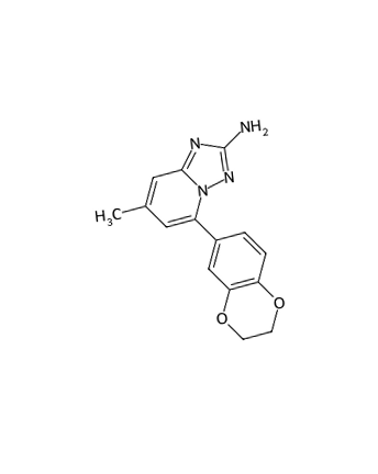 Cc1cc(-c2ccc3c(c2)OCCO3)n2nc(N)nc2c1